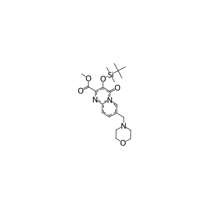 COC(=O)c1nc2ccc(CN3CCOCC3)cn2c(=O)c1O[Si](C)(C)C(C)(C)C